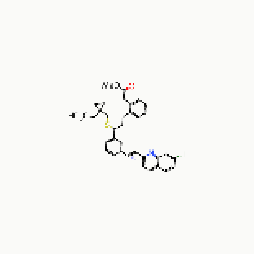 COC(=O)Cc1ccccc1CCC(SCC1(CC(=O)O)CC1)c1cccc(/C=C/c2ccc3ccc(Cl)cc3n2)c1